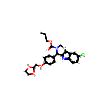 CCCOC(=O)N1CCc2c([nH]c3ccc(Cl)cc23)C1c1ccc(OCC2OCCO2)cc1